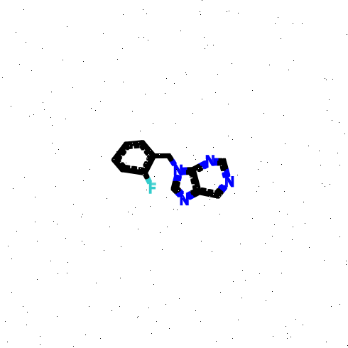 Fc1ccccc1Cn1cnc2cncnc21